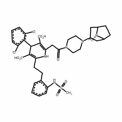 CN1C2CCC1CC(N1CCN(C(=O)CC3=C(C(=O)O)C(c4c(Cl)cccc4Cl)C(C(=O)O)=C(CCc4ccccc4NS(C)(=O)=O)N3)CC1)C2